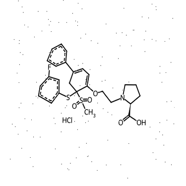 CS(=O)(=O)C1(Sc2cccc(F)c2)CC(c2ccccc2)=CC=C1OCCN1CCC[C@H]1C(=O)O.Cl